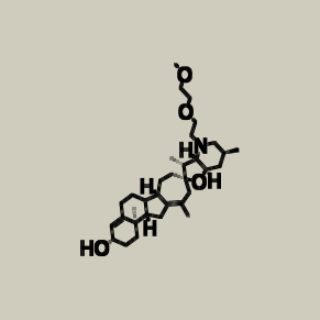 COCCOCCN1C[C@@H](C)C[C@H]2O[C@]3(CC[C@@H]4C(=C(C)C3)C[C@H]3C4CCC4=C[C@@H](O)CC[C@@]43C)[C@H](C)[C@@H]21